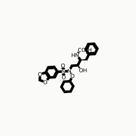 O=C(O)N[C@@H](Cc1ccccc1)[C@@H](O)CN(OC1CCCCC1)S(=O)(=O)c1ccc2c(c1)OCO2